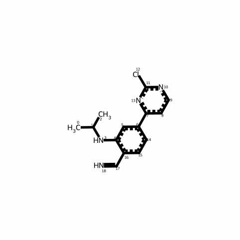 CC(C)Nc1cc(-c2ccnc(Cl)n2)ccc1C=N